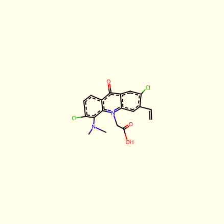 C=Cc1cc2c(cc1Cl)c(=O)c1ccc(Cl)c(N(C)C)c1n2CC(=O)O